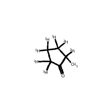 [2H]C1([2H])C(=O)C([2H])(C)C([2H])([2H])C1([2H])[2H]